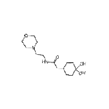 O=C(CC1CCC(O)(O)CC1)NCCN1CCOCC1